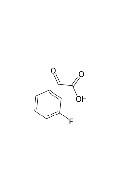 Fc1ccccc1.O=CC(=O)O